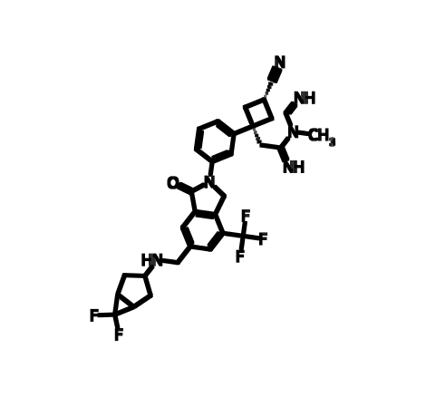 CN(C=N)C(=N)C[C@]1(c2cccc(N3Cc4c(cc(CNC5CC6C(C5)C6(F)F)cc4C(F)(F)F)C3=O)c2)C[C@H](C#N)C1